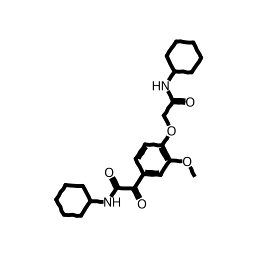 COc1cc(C(=O)C(=O)NC2CCCCC2)ccc1OCC(=O)NC1CCCCC1